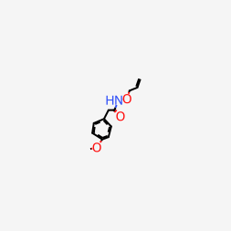 C=CCONC(=O)Cc1ccc(OC)cc1